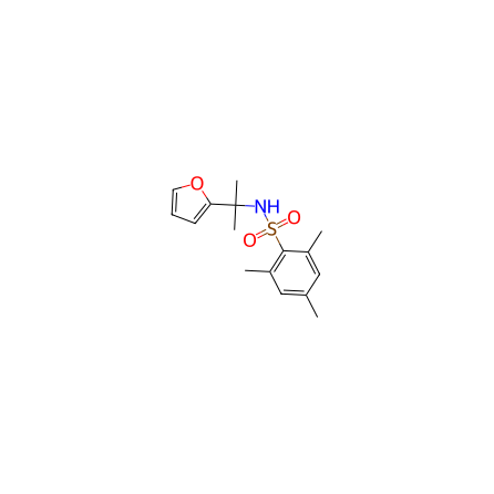 Cc1cc(C)c(S(=O)(=O)NC(C)(C)c2ccco2)c(C)c1